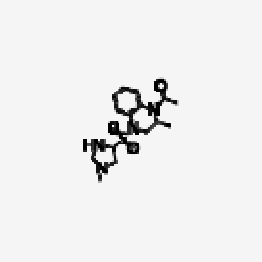 CC(=O)N1c2ccccc2N(S(=O)(=O)C2CN(C)CN2)C[C@@H]1C